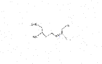 C/C(=C/CCC(C)CC=O)CC(C)C